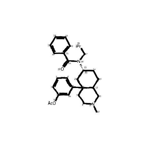 CC(=O)Oc1cccc(C23CCN(C)CC2CC[C@@H](N(CC(C)C)C(=O)c2ccccc2)C3)c1